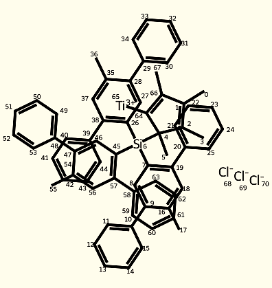 CC1=C(C)C(C)([Si](c2cc(-c3ccccc3)c(C)cc2-c2ccccc2)(c2cc(-c3ccccc3)c(C)cc2-c2ccccc2)c2cc(-c3ccccc3)c(C)cc2-c2ccccc2)[C]([Ti+3])=C1C.[Cl-].[Cl-].[Cl-]